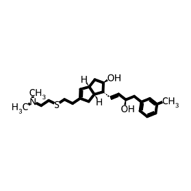 Cc1cccc(C[C@@H](O)/C=C/[C@@H]2[C@H]3CC(CCSCCN(C)C)=C[C@H]3C[C@H]2O)c1